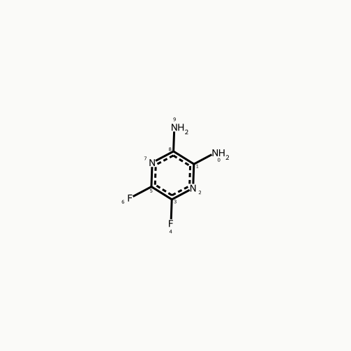 Nc1nc(F)c(F)nc1N